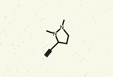 C#CC1CCN(C)N1C